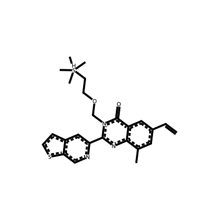 C=Cc1cc(C)c2nc(-c3cc4ccsc4cn3)n(COCC[SH](C)(C)(C)C)c(=O)c2c1